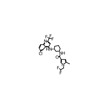 Cc1cc(C(=O)N[C@@H]2CCC[C@H](Nc3cc(C(F)(F)F)nc4ccc(Cl)cc34)C2)cn1CC(F)F